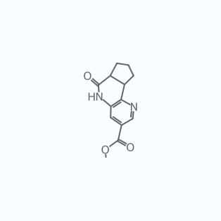 COC(=O)c1cnc2c(c1)NC(=O)C1CCCC21